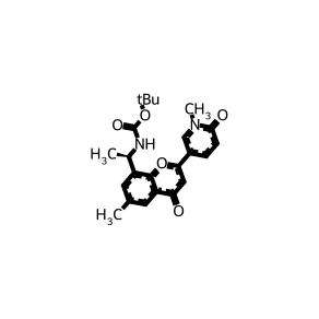 Cc1cc([C@@H](C)NC(=O)OC(C)(C)C)c2oc(-c3ccc(=O)n(C)c3)cc(=O)c2c1